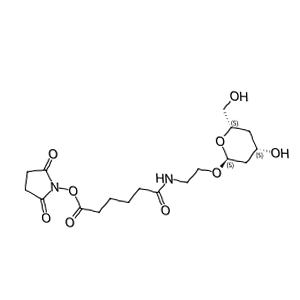 O=C(CCCCC(=O)ON1C(=O)CCC1=O)NCCO[C@@H]1C[C@@H](O)C[C@@H](CO)O1